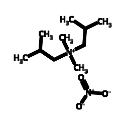 CC(C)C[N+](C)(C)CC(C)C.O=[N+]([O-])[O-]